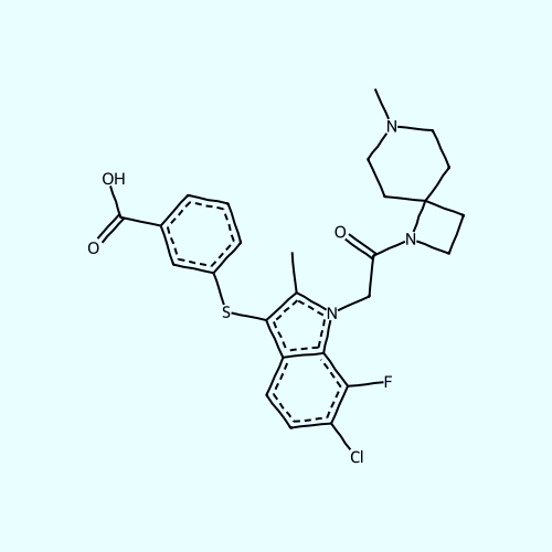 Cc1c(Sc2cccc(C(=O)O)c2)c2ccc(Cl)c(F)c2n1CC(=O)N1CCC12CCN(C)CC2